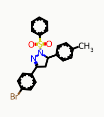 Cc1ccc(C2CC(c3ccc(Br)cc3)=NN2S(=O)(=O)c2ccccc2)cc1